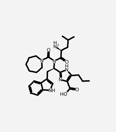 CCCc1[nH]c([C@@H](Cc2c[nH]c3ccccc23)N(C(=O)[C@@H](N)CC(C)C)C(=O)N2CCCCCC2)nc1C(=O)O